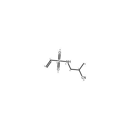 C=CS(=O)(=O)NCC(C)C#N